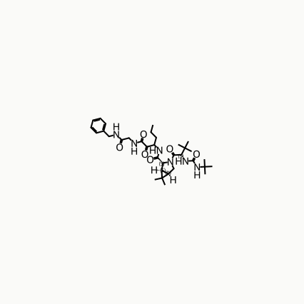 CCCC(NC(=O)[C@@H]1[C@H]2[C@@H](CN1C(=O)[C@@H](NC(=O)NC(C)(C)C)C(C)(C)C)C2(C)C)C(=O)C(=O)NCC(=O)NCc1ccccc1